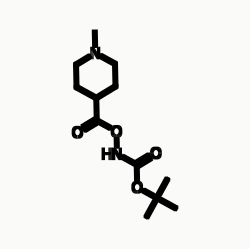 CN1CCC(C(=O)ONC(=O)OC(C)(C)C)CC1